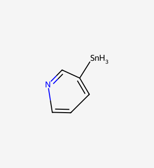 [SnH3][c]1cccnc1